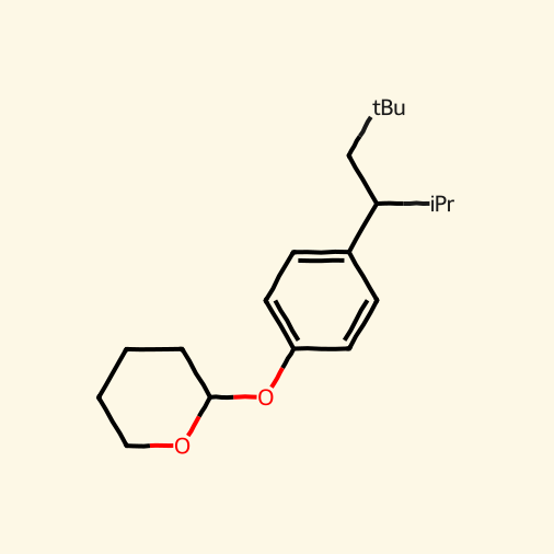 CC(C)C(CC(C)(C)C)c1ccc(OC2CCCCO2)cc1